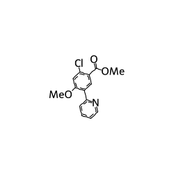 COC(=O)c1cc(-c2ccccn2)c(OC)cc1Cl